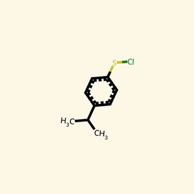 CC(C)c1ccc(SCl)cc1